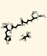 COC(=O)C(Cc1c[nH]cn1)NC(=O)CCNC(=O)CCCC(CO[N+](=O)[O-])O[N+](=O)[O-].O=C(O)C(F)(F)F